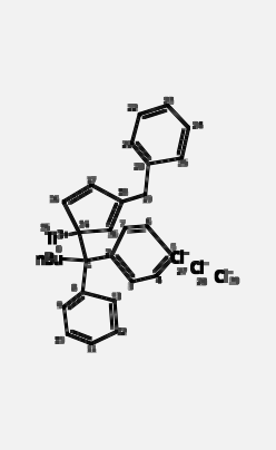 CCCCC(c1ccccc1)(c1ccccc1)[C]1([Ti+3])C=CC(Cc2ccccc2)=C1.[Cl-].[Cl-].[Cl-]